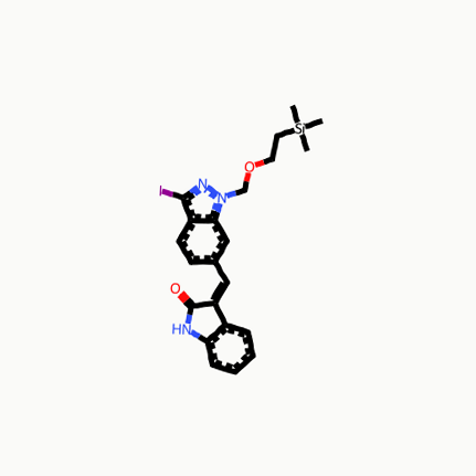 C[Si](C)(C)CCOCn1nc(I)c2ccc(C=C3C(=O)Nc4ccccc43)cc21